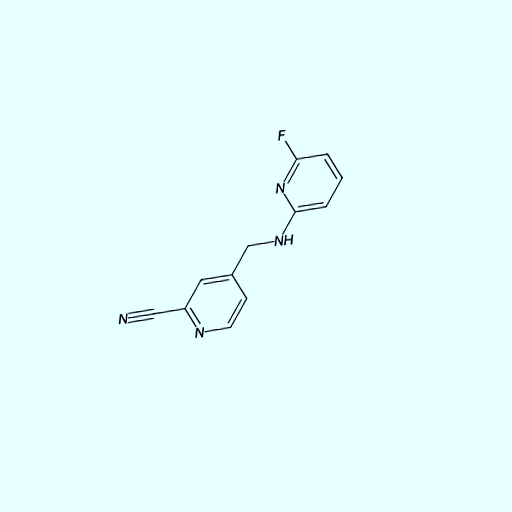 N#Cc1cc(CNc2cccc(F)n2)ccn1